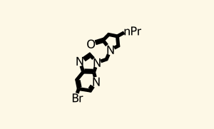 CCCC1CC(=O)N(Cn2cnc3cc(Br)cnc32)C1